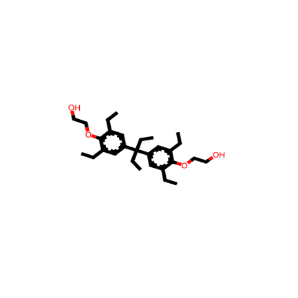 CCc1cc(C(CC)(CC)c2cc(CC)c(OCCO)c(CC)c2)cc(CC)c1OCCO